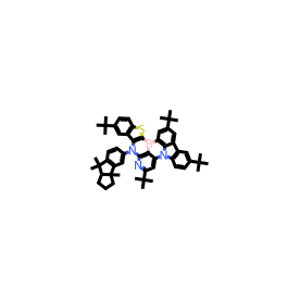 CC(C)(C)c1ccc2sc3c(c2c1)N(c1ccc2c(c1)C1(C)CCCC1C2(C)C)c1nc(C(C)(C)C)cc2c1B3c1cc(C(C)(C)C)cc3c4cc(C(C)(C)C)ccc4n-2c13